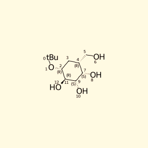 CC(C)(C)O[C@@H]1C[C@H](CO)[C@H](O)[C@H](O)[C@H]1O